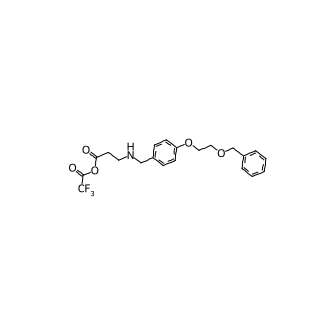 O=C(CCNCc1ccc(OCCOCc2ccccc2)cc1)OC(=O)C(F)(F)F